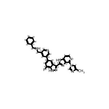 Cc1cn(-c2nccc3[nH]c(-c4n[nH]c5c(F)cc(-c6cncc(CNCc7ccccc7)c6)cc45)nc23)cn1